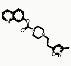 Cc1cc(CCN2CCN(C(=O)Oc3ccc4cccnc4c3)CC2)on1